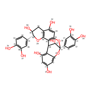 Oc1cc(O)c2c(c1)O[C@]1(c3ccc(O)c(O)c3)Oc3cc(O)c4c(c3C2C1O)O[C@H](c1ccc(O)c(O)c1)C(O)C4